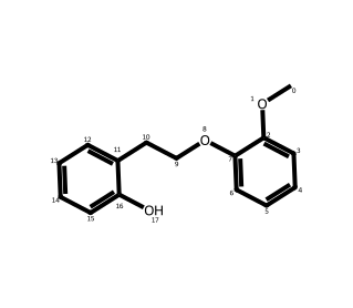 COc1ccccc1OCCc1ccccc1O